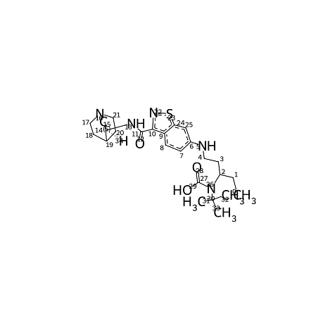 CCC(CCNc1ccc2c(C(=O)N[C@@H]3CN4CCC3CC4)nsc2c1)N(C(=O)O)C(C)(C)C